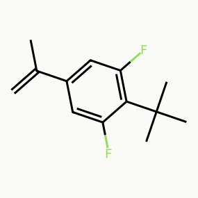 C=C(C)c1cc(F)c(C(C)(C)C)c(F)c1